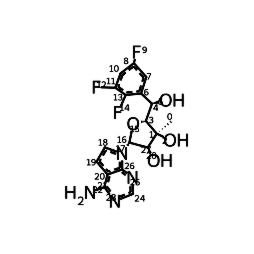 C[C@@]1(O)[C@@H]([C@H](O)c2cc(F)cc(F)c2F)O[C@@H](n2ccc3c(N)ncnc32)[C@@H]1O